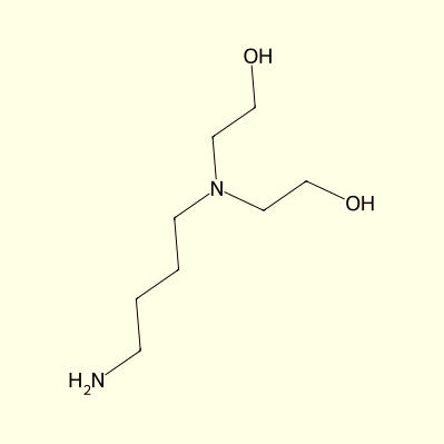 NCCCCN(CCO)CCO